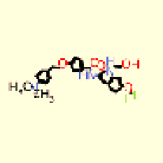 CN(C)c1ccc(CCOc2ccc(C(=O)NC(=Cc3ccc(OC(F)F)cc3)C(=O)NCCO)cc2)cc1